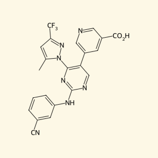 Cc1cc(C(F)(F)F)nn1-c1nc(Nc2cccc(C#N)c2)ncc1-c1cncc(C(=O)O)c1